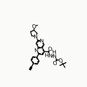 C#Cc1ccc(-c2cc(C(=O)NNC(=O)OC(C)(C)C)c3cnc(N4CCC(OC)C4)cc3n2)cc1